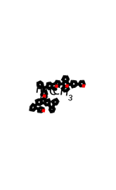 CC1(C)c2cc(-c3c4ccccc4c(-c4ccc(-c5ccccc5)cc4)c4ccccc34)ccc2-c2ccc(N(c3ccccc3)c3ccc(-n4c5ccc(-c6ccccc6-c6ccccc6)cc5c5cc(-c6ccccc6-c6ccccc6)ccc54)cc3)cc21